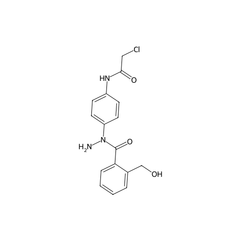 NN(C(=O)c1ccccc1CO)c1ccc(NC(=O)CCl)cc1